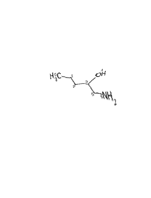 CC[CH]C(O)CN